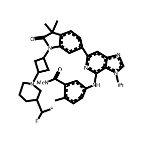 CNC(=O)c1cc(Nc2nc(-c3ccc4c(c3)N(C3CC(N5CCCC(C(F)F)C5)C3)C(=O)C4(C)C)cc3ncn(C(C)C)c23)ccc1C